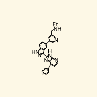 CCNCc1cncc(-c2ccc3[nH]nc(-c4nc5c(-c6ccsc6)ccnc5[nH]4)c3c2)c1